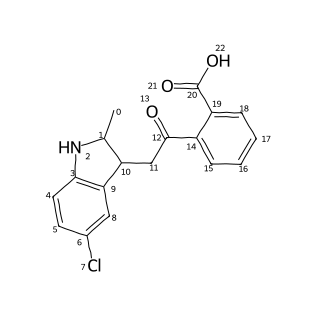 CC1Nc2ccc(Cl)cc2C1CC(=O)c1ccccc1C(=O)O